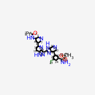 CC(C)C(=O)Nc1cncc(-c2ccc3[nH]nc(-c4nc5c(-c6cc(F)cc(C(N)S(C)(=O)=O)c6)cncc5[nH]4)c3n2)c1